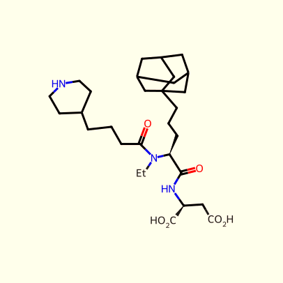 CCN(C(=O)CCCC1CCNCC1)[C@@H](CCCC12CC3CC(CC(C3)C1)C2)C(=O)N[C@@H](CC(=O)O)C(=O)O